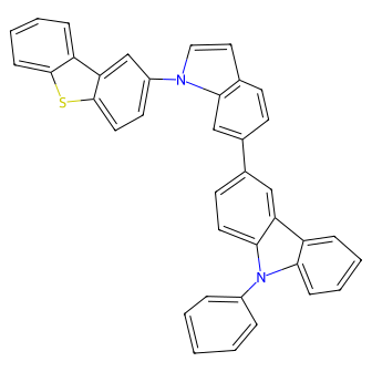 c1ccc(-n2c3ccccc3c3cc(-c4ccc5ccn(-c6ccc7sc8ccccc8c7c6)c5c4)ccc32)cc1